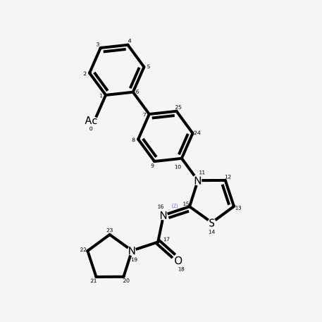 CC(=O)c1ccccc1-c1ccc(-n2ccs/c2=N\C(=O)N2CCCC2)cc1